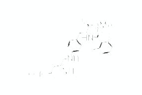 COC(=O)[C@H](Cc1ccc(NC[C@@H](N)CC(C)C=O)cc1)NC(=O)c1c(C)cccc1Cl